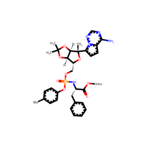 CCCCCCOC(=O)[C@H](Cc1ccccc1)NP(=O)(OC[C@H]1O[C@@](C)(c2ccc3c(N)ncnn23)[C@@H]2OC(C)(C)O[C@@H]21)Oc1ccc(C(C)(C)C)cc1